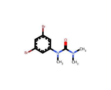 CN(C)C(=O)N(C)c1cc(Br)cc(Br)c1